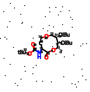 CC(C)CO[C@H]1[C@H](C)OC(=O)[C@@H](NC(=O)OC(C)(C)C)CCOC[C@@H]1OCC(C)C